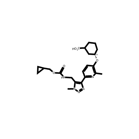 Cc1nc(-c2nnn(C)c2CNC(=O)OCC2CC2)ccc1O[C@H]1CCCC(C(=O)O)C1